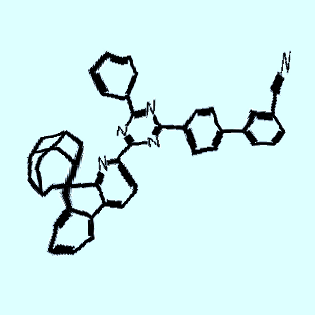 N#Cc1cccc(-c2ccc(-c3nc(-c4ccccc4)nc(-c4ccc5c(n4)C4(c6ccccc6-5)C5CC6CC(C5)CC4C6)n3)cc2)c1